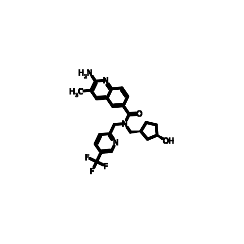 Cc1cc2cc(C(=O)N(Cc3ccc(C(F)(F)F)cn3)C[C@H]3CC[C@@H](O)C3)ccc2nc1N